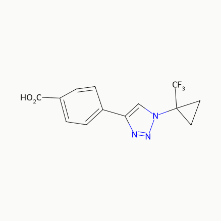 O=C(O)c1ccc(-c2cn(C3(C(F)(F)F)CC3)nn2)cc1